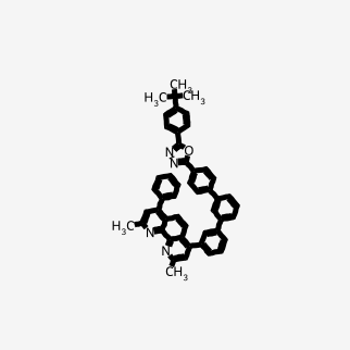 Cc1cc(-c2ccccc2)c2ccc3c(-c4cccc(-c5cccc(-c6ccc(-c7nnc(-c8ccc(C(C)(C)C)cc8)o7)cc6)c5)c4)cc(C)nc3c2n1